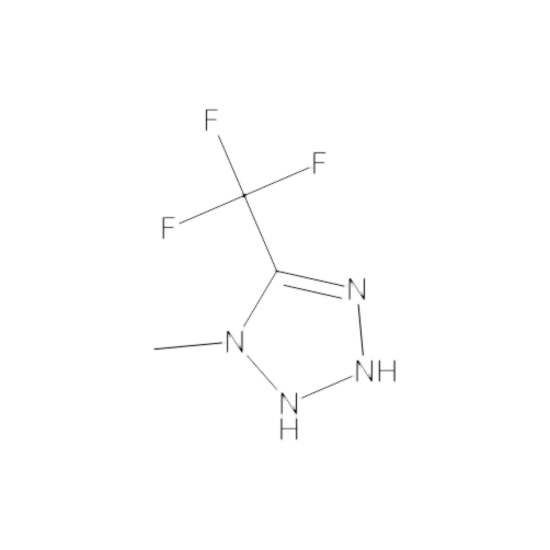 CN1NNN=C1C(F)(F)F